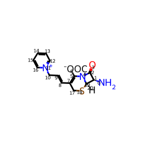 N[C@@H]1C(=O)N2C(C(=O)[O-])=C(C=CC[n+]3ccccc3)CS[C@H]12